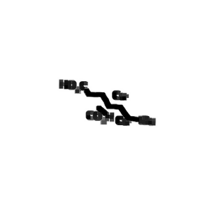 CC(=O)O.CC(C)(C)CCCCCC(=O)O.[Cu].[Cu]